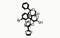 CO[C@H]1[C@@H](S)O[C@@H]2COC(c3ccccc3)O[C@@H]2C1(c1cc(Br)ccc1Cl)n1cc(-c2nccs2)nn1